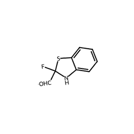 O=[C]C1(F)Nc2ccccc2S1